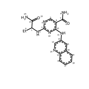 CCC(Nc1ncc(C(N)=O)c(Nc2cnc3ccccc3c2)n1)C(N)=O